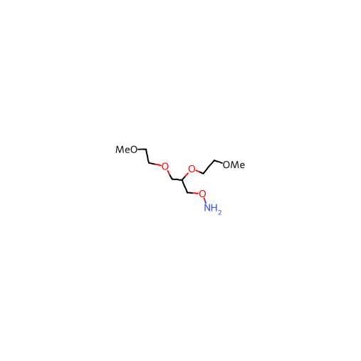 COCCOCC(CON)OCCOC